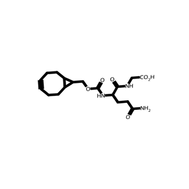 NC(=O)CCC(NC(=O)OCC1C2CCC#CCCC21)C(=O)NCC(=O)O